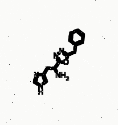 NC(Cc1c[nH]cn1)c1nnc(Cc2ccccc2)o1